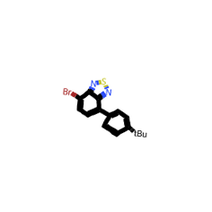 CC(C)(C)c1ccc(-c2ccc(Br)c3nsnc23)cc1